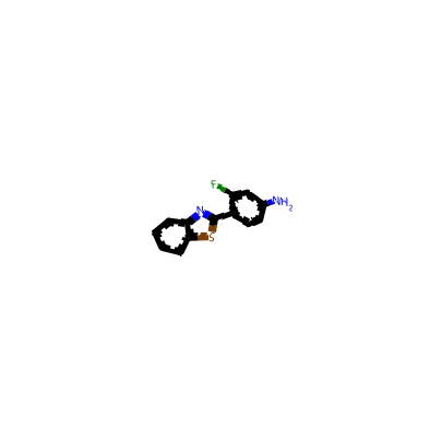 Nc1ccc(-c2nc3ccccc3s2)c(F)c1